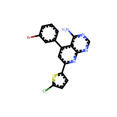 Nc1ncnc2nc(-c3ccc(Cl)s3)cc(-c3cccc(Br)c3)c12